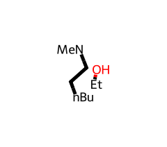 CCCCCCNC.CCO